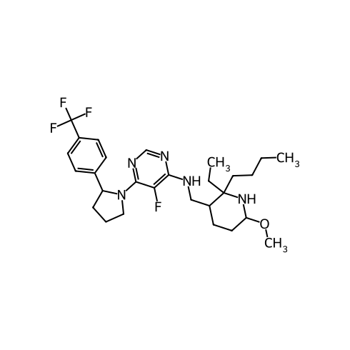 CCCCC1(CC)NC(OC)CCC1CNc1ncnc(N2CCCC2c2ccc(C(F)(F)F)cc2)c1F